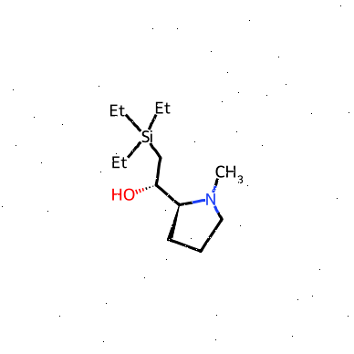 CC[Si](CC)(CC)C[C@@H](O)[C@@H]1CCCN1C